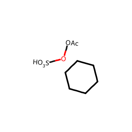 C1CCCCC1.CC(=O)OOS(=O)(=O)O